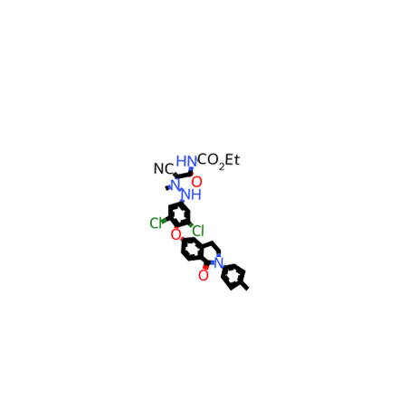 CCOC(=O)NC(=O)C(C#N)N(C)Nc1cc(Cl)c(Oc2ccc3c(c2)CCN(c2ccc(C)cc2)C3=O)c(Cl)c1